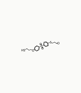 O=CCCSc1ccc(S(=O)(=O)c2ccc(OCCCS)cc2)cc1